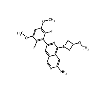 COc1cc(OC)c(F)c(-c2cc3cnc(N)cc3c(N3CC(OC)C3)n2)c1F